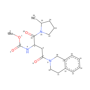 CC(C)(C)OC(=O)NC(CC(=O)N1CCc2ccccc2C1)C(=O)N1CCCC1C#N